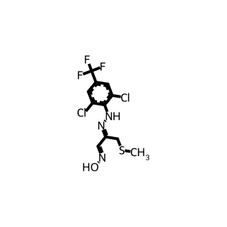 CSCC(C=NO)=NNc1c(Cl)cc(C(F)(F)F)cc1Cl